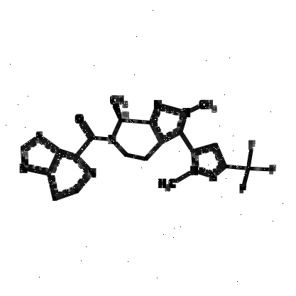 C[C@H]1c2nn(C)c(-c3cc(C(F)(F)F)nn3C)c2CCN1C(=O)c1nccc2ncsc12